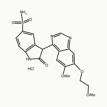 COCCOc1cc2ncnc(C3C(=O)Nc4ccc(S(N)(=O)=O)cc43)c2cc1OC.Cl